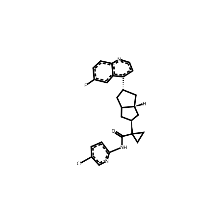 O=C(Nc1ccc(Cl)cn1)C1([C@H]2CC3C[C@H](c4ccnc5ccc(F)cc45)C[C@@H]3C2)CC1